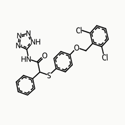 O=C(Nc1nnn[nH]1)C(Sc1ccc(OCc2c(Cl)cccc2Cl)cc1)c1ccccc1